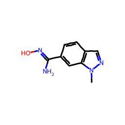 Cn1ncc2ccc(/C(N)=N/O)cc21